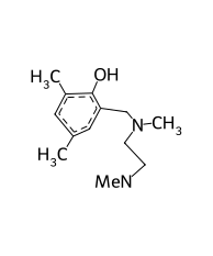 CNCCN(C)Cc1cc(C)cc(C)c1O